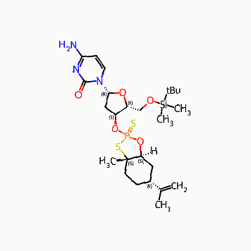 C=C(C)[C@@H]1CC[C@]2(C)SP(=S)(O[C@H]3C[C@H](n4ccc(N)nc4=O)O[C@@H]3CO[Si](C)(C)C(C)(C)C)O[C@H]2C1